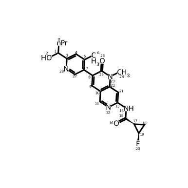 CCCC(O)c1cc(C)c(-c2cc3cnc(NC(=O)[C@H]4C[C@H]4F)cc3n(C)c2=O)cn1